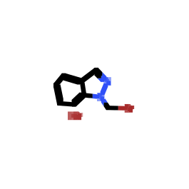 Br.BrCn1ncc2ccccc21